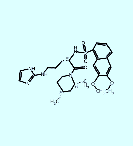 COc1cc2cccc(S(=O)(=O)N[C@@H](CCCNc3ncc[nH]3)C(=O)N3CC[C@@H](C)C[C@H]3C)c2cc1OC